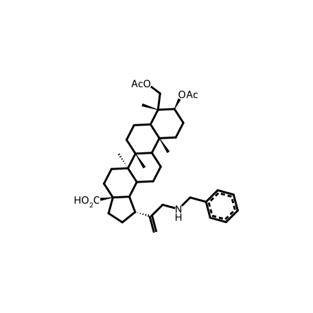 C=C(CNCc1ccccc1)[C@@H]1CC[C@]2(C(=O)O)CC[C@]3(C)C(CCC4[C@@]5(C)CC[C@H](OC(C)=O)[C@@](C)(COC(C)=O)C5CC[C@]43C)C12